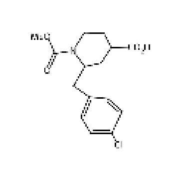 COC(=O)N1CCC(C(=O)O)CC1Cc1ccc(Cl)cc1